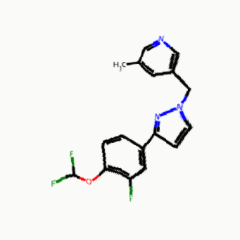 Cc1cncc(Cn2ccc(-c3ccc(OC(F)F)c(F)c3)n2)c1